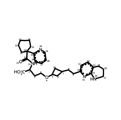 O=C(O)C(CCOC1CC(CCc2ccc3c(n2)NCCC3)C1)NC(=O)C1(c2ccccn2)CCCCC1